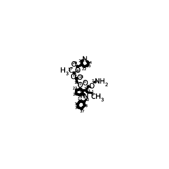 CCc1c(C(=O)OCN)c2c(OCC(=O)OC(C)OC(=O)c3cccnc3)cccc2n1Cc1ccccc1